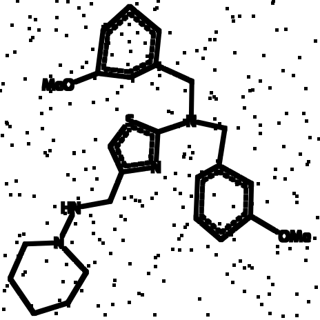 COc1cccc(CN(Cc2cccc(OC)c2)c2nc(CNN3CCCCC3)cs2)c1